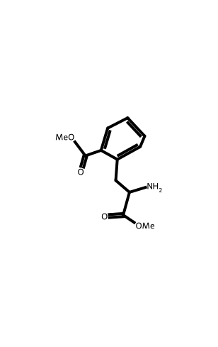 COC(=O)c1ccccc1CC(N)C(=O)OC